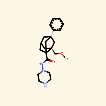 CCOC[C@]12CC3CC1(C(=O)NN1CCNCC1)C[C@@](c1ccccc1)(C3)C2